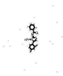 CCCn1c(-c2ccc(C)cc2C)cs/c1=N\C(=O)c1ccccc1